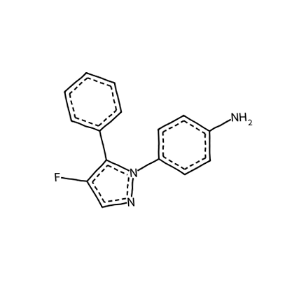 Nc1ccc(-n2ncc(F)c2-c2ccccc2)cc1